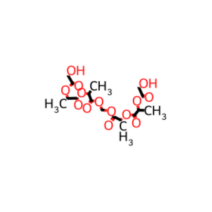 CC(OC(=O)CO)C(=O)OC(C)C(=O)OCOC(=O)C(C)OC(=O)C(C)OC(=O)CO